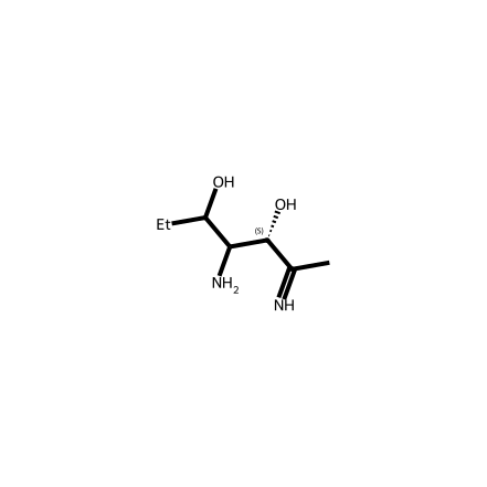 CCC(O)C(N)[C@H](O)C(C)=N